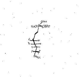 CCCCCCCC(F)(F)C(F)(F)C(F)(F)C(F)(F)CC[Si](OC)(OC)OC